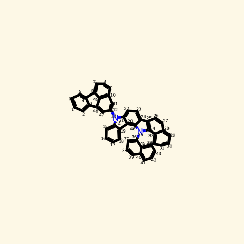 c1ccc2c(c1)-c1cccc3cc(-n4c5ccccc5c5c4ccc4c6ccc7ccccc7c6n(-c6cccc7ccccc67)c45)cc-2c13